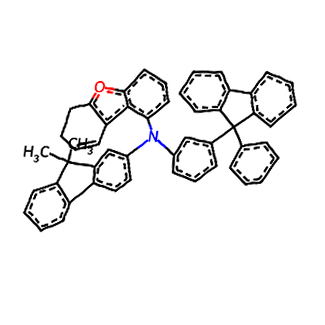 CC1(C)c2ccccc2-c2ccc(N(c3cccc(C4(c5ccccc5)c5ccccc5-c5ccccc54)c3)c3cccc4oc5c(c34)C=CCC5)cc21